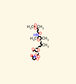 CC(=O)O[C@@H](C)C=CC(=O)N[C@@H]1C[C@H](C)[C@H](CC=C(C)C=C[C@@H]2C[C@@]3(CO3)C[C@@H](CC(=O)ON3C(=O)CCC3=O)O2)O[C@@H]1C